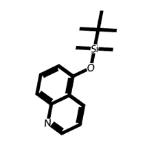 CC(C)(C)[Si](C)(C)Oc1cccc2ncccc12